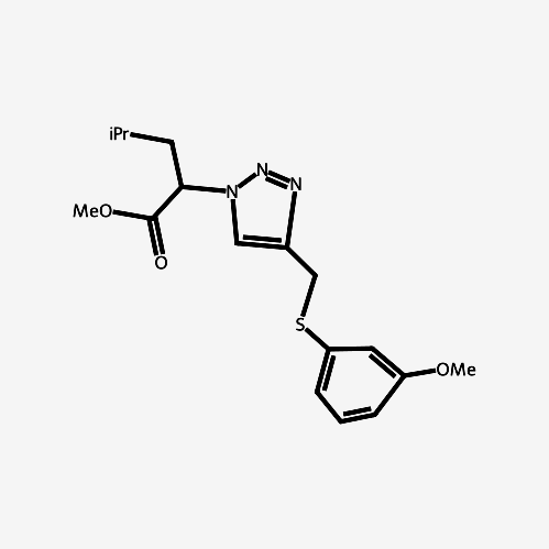 COC(=O)C(CC(C)C)n1cc(CSc2cccc(OC)c2)nn1